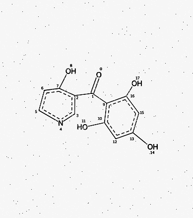 O=C(c1cnccc1O)c1c(O)cc(O)cc1O